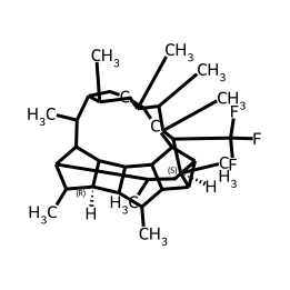 CC1CC(C)C2CCCCC3C4CC(C)C5C(C2C)C2C6C3C(C(C)C6[C@H]2C5C)C4[C@H](C)C(C(F)(F)F)C(C)C1C